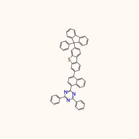 c1ccc(-c2nc(-c3ccccc3)nc(-c3ccc(-c4ccc5c(c4)sc4cc(C6(c7ccccc7)c7ccccc7-c7ccccc76)ccc45)c4ccccc34)n2)cc1